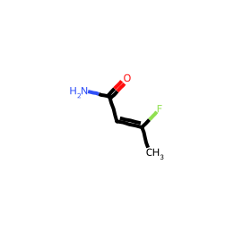 C/C(F)=C/C(N)=O